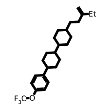 C=C(CC)CCC1CCC(C2CCC(c3ccc(OC(F)(F)F)cc3)CC2)CC1